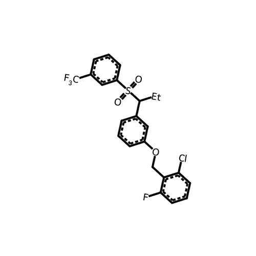 CCC(c1cccc(OCc2c(F)cccc2Cl)c1)S(=O)(=O)c1cccc(C(F)(F)F)c1